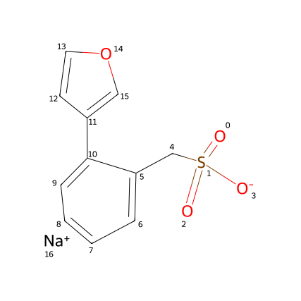 O=S(=O)([O-])Cc1ccccc1-c1ccoc1.[Na+]